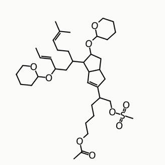 CC=CC(CC(CCC=C(C)C)C1C(OC2CCCCO2)CC2CC(C(CCCCOC(C)=O)COS(C)(=O)=O)=CC21)OC1CCCCO1